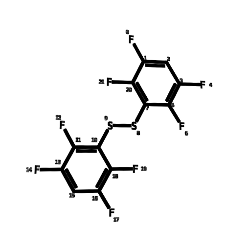 Fc1cc(F)c(F)c(SSc2c(F)c(F)cc(F)c2F)c1F